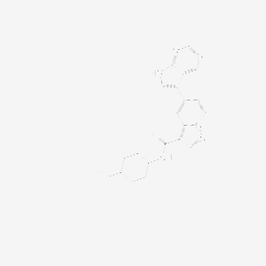 COC1CCC(NC(=O)c2cnn3ccc(-c4c[nH]c5ncncc45)cc23)CC1